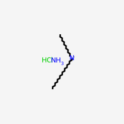 CCCCCCCCCCCCCCCCCN(C)CCCCCCCCCCCC.Cl.N